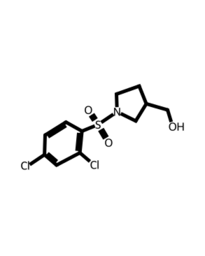 O=S(=O)(c1ccc(Cl)cc1Cl)N1CCC(CO)C1